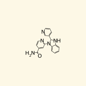 NC(=O)c1ccnc(N2c3ccccc3NC2c2cccnc2)c1